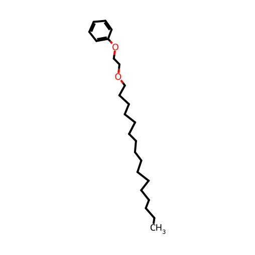 CCCCCCCCCCCCCCCCOCCOc1ccccc1